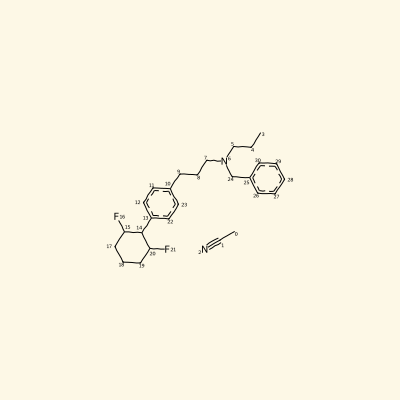 CC#N.CCCN(CCCc1ccc(C2C(F)CCCC2F)cc1)Cc1ccccc1